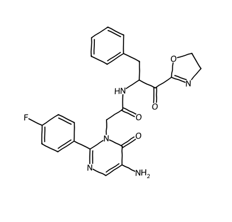 Nc1cnc(-c2ccc(F)cc2)n(CC(=O)NC(Cc2ccccc2)C(=O)C2=NCCO2)c1=O